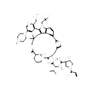 C=CC(=O)N1CC[C@](O)(C(=O)N(C)[C@H](C(=O)N[C@H]2Cc3csc(n3)-c3ccc4c(c3)c(c(-c3cc(N5CCN(C)CC5)cnc3[C@H](C)OC)n4CC(F)(F)F)CC(C)(C)COC(=O)[C@@H]3CCCN(N3)C2=O)C(C)C)C1